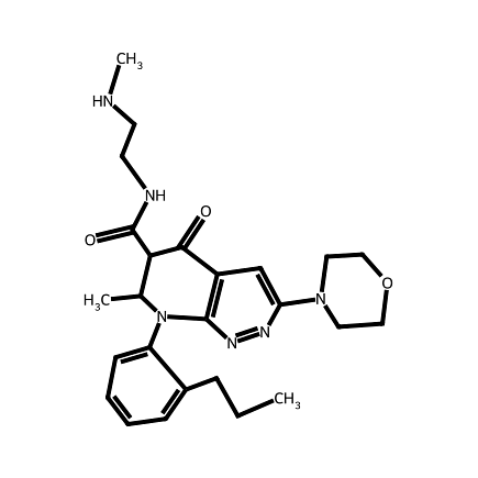 CCCc1ccccc1N1c2nnc(N3CCOCC3)cc2C(=O)C(C(=O)NCCNC)C1C